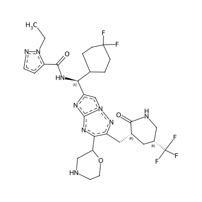 CCn1nccc1C(=O)N[C@H](c1cn2nc(C[C@H]3C[C@@H](C(F)(F)F)CNC3=O)c(C3CNCCO3)nc2n1)C1CCC(F)(F)CC1